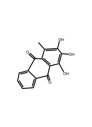 Cc1c(O)c(O)c(O)c2c1C(=O)c1ccccc1C2=O